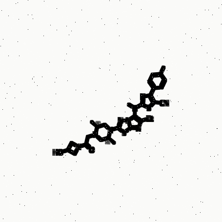 CCc1nc2sc(N3C[C@H](C)N(CC(=O)N4CC(O)C4)C[C@@H]3C)nn2c1N(C)c1nc(-c2ccc(C)cc2)c(C#N)s1